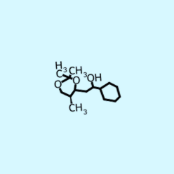 C[C@H]1COC(C)(C)OC1CC(O)C1CCCCC1